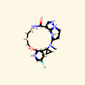 CN1c2ccn3ncc(c3n2)C(=O)NCCCCOc2ncc(F)cc2C12CC2